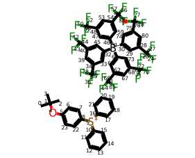 CC(C)(C)Oc1ccc([S+](c2ccccc2)c2ccccc2)cc1.FC(F)(F)c1cc([B-](c2cc(C(F)(F)F)cc(C(F)(F)F)c2)(c2cc(C(F)(F)F)cc(C(F)(F)F)c2)c2cc(C(F)(F)F)cc(C(F)(F)F)c2)cc(C(F)(F)F)c1